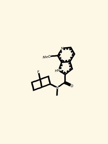 COc1nccc2cc(C(=O)N(C)C3CC4(F)CCC34)[nH]c12